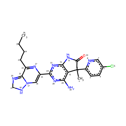 CC1(c2ccc(Cl)cn2)C(=O)Nc2nc(C3=CN4NCN=C4C(CCCC(F)(F)F)=N3)nc(N)c21